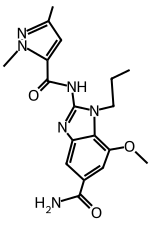 CCCn1c(NC(=O)c2cc(C)nn2C)nc2cc(C(N)=O)cc(OC)c21